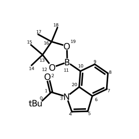 CC(C)(C)C(=O)n1ccc2cccc(B3OC(C)(C)C(C)(C)O3)c21